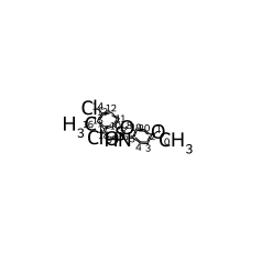 COc1ccc(NS(=O)(=O)c2ccc(Cl)c(C)c2Cl)cc1